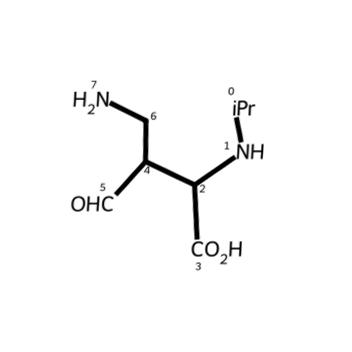 CC(C)NC(C(=O)O)C(C=O)CN